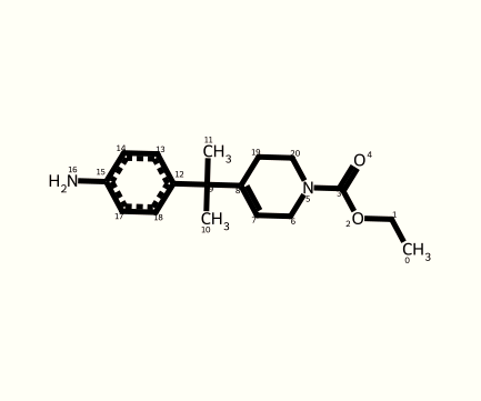 CCOC(=O)N1CC=C(C(C)(C)c2ccc(N)cc2)CC1